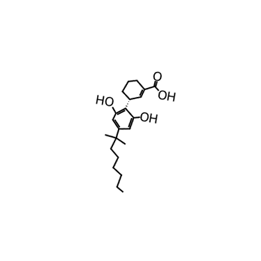 CCCCCCC(C)(C)c1cc(O)c([C@H]2C=C(C(=O)O)CCC2)c(O)c1